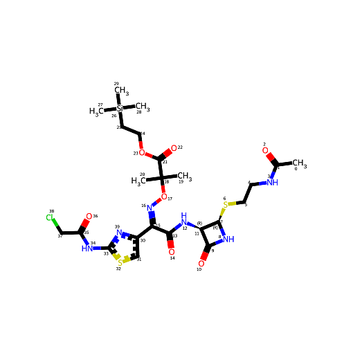 CC(=O)NCCS[C@H]1NC(=O)[C@H]1NC(=O)C(=NOC(C)(C)C(=O)OCC[Si](C)(C)C)c1csc(NC(=O)CCl)n1